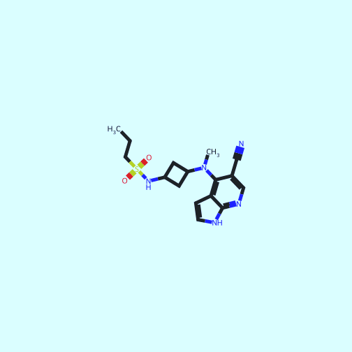 CCCS(=O)(=O)NC1CC(N(C)c2c(C#N)cnc3[nH]ccc23)C1